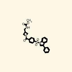 COC(=O)NCC1CN(C(=O)c2ccc(S(=O)(=O)n3cc(-c4ccccc4)c4ccccc43)cc2)C1